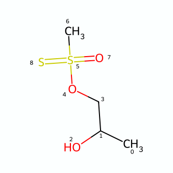 CC(O)COS(C)(=O)=S